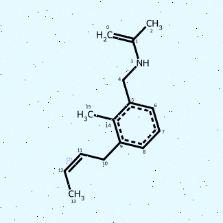 C=C(C)NCc1cccc(C/C=C\C)c1C